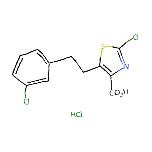 Cl.O=C(O)c1nc(Cl)sc1CCc1cccc(Cl)c1